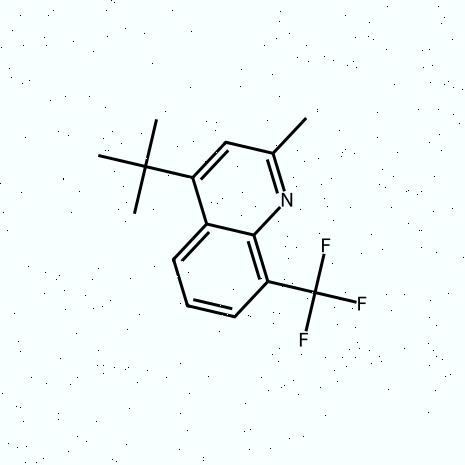 Cc1cc(C(C)(C)C)c2cccc(C(F)(F)F)c2n1